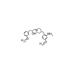 COc1cccc(CC(O)CN2CCC(Cc3ccc(OC)cc3N)CC2)c1